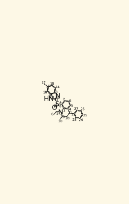 CCN1c2c(cccc2[S+]([O-])c2nc3ccc(C)cc3[nH]2)C(c2ccccc2)CC1C